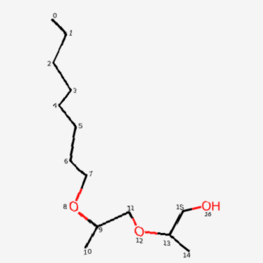 CCCCCCCCOC(C)COC(C)CO